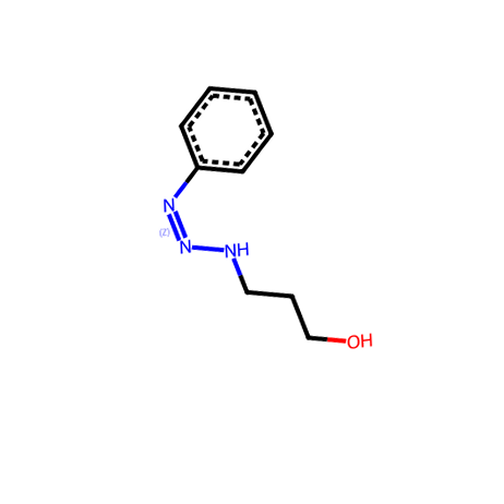 OCCCN/N=N\c1ccccc1